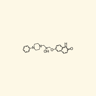 O=c1ccc2cc(OC[C@H](O)CN3CCN(c4ccccc4)CC3)ccc2[nH]1